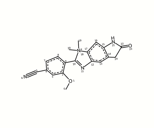 COc1cc(C#N)ccc1C1=Nc2cc3c(cc2[N+]1(C)C)NC(=O)C3